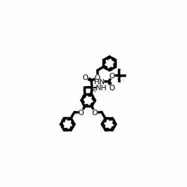 CC(C)(C)OC(=O)NN[C@]1(C(=O)OCc2ccccc2)Cc2cc(OCc3ccccc3)c(OCc3ccccc3)cc21